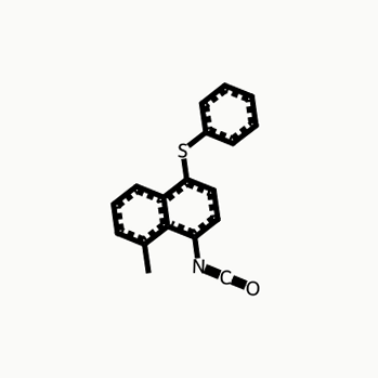 Cc1cccc2c(Sc3ccccc3)ccc(N=C=O)c12